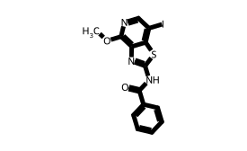 COc1ncc(I)c2sc(NC(=O)c3ccccc3)nc12